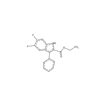 CCOC(=O)c1[nH]c2cc(F)c(F)cc2c1-c1ccccc1